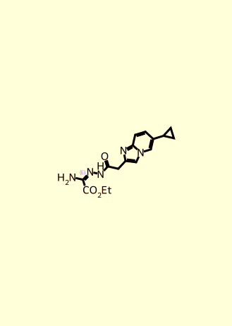 CCOC(=O)/C(N)=N\NC(=O)Cc1cn2cc(C3CC3)ccc2n1